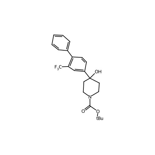 CC(C)(C)OC(=O)N1CCC(O)(c2ccc(-c3ccccc3)c(C(F)(F)F)c2)CC1